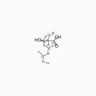 CCC(C)CC(C)CC(C)(O)C(C)(CC)C(=O)O